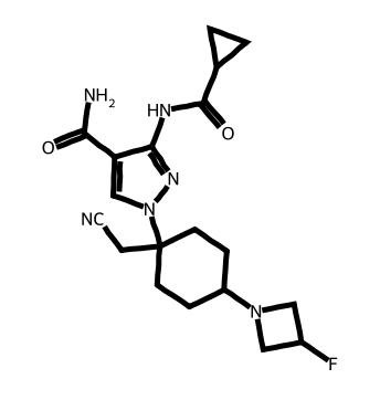 N#CCC1(n2cc(C(N)=O)c(NC(=O)C3CC3)n2)CCC(N2CC(F)C2)CC1